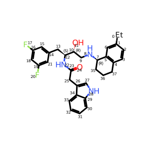 CCc1ccc2c(c1)[C@H](NC[C@@H](O)[C@H](Cc1cc(F)cc(F)c1)NC(=O)Cc1c[nH]c3ccccc13)CCC2